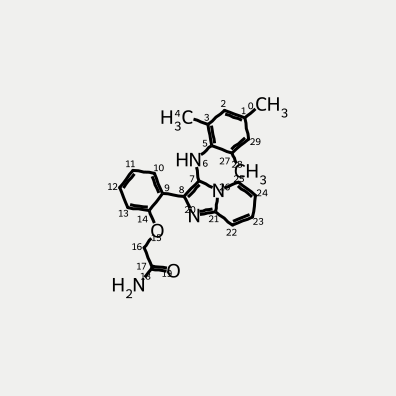 Cc1cc(C)c(Nc2c(-c3ccccc3OCC(N)=O)nc3ccccn23)c(C)c1